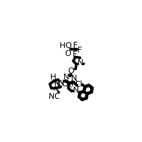 CN1CCCC1COc1nc2c(c(N3C[C@H]4CC[C@@](CC#N)(C3)N4C(=O)O)n1)CCN(c1cccc3cccc(Cl)c13)C2.O=C(O)C(F)(F)F